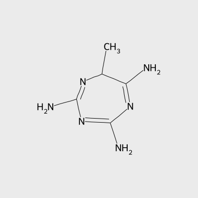 CC1N=C(N)N=C(N)N=C1N